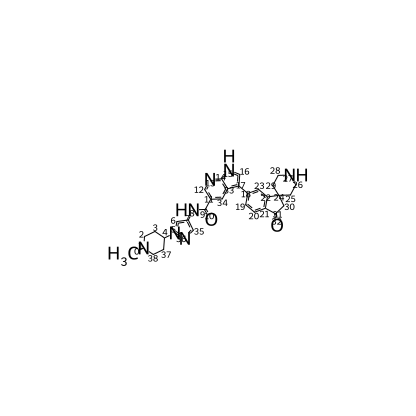 CN1CCC(n2cc(NC(=O)c3cnc4[nH]cc(-c5ccc6c(c5)C5(CCNCC5)CC6=O)c4c3)cn2)CC1